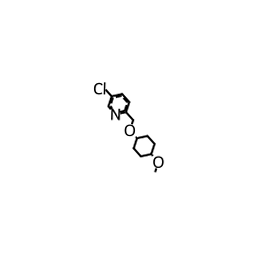 CO[C@H]1CC[C@H](OCc2ccc(Cl)cn2)CC1